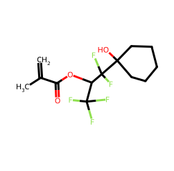 C=C(C)C(=O)OC(C(F)(F)F)C(F)(F)C1(O)CCCCC1